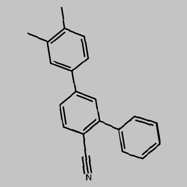 Cc1ccc(-c2ccc(C#N)c(-c3ccccc3)c2)cc1C